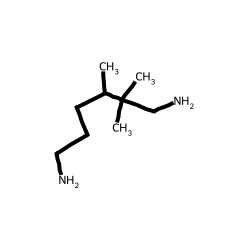 CC(CCCN)C(C)(C)CN